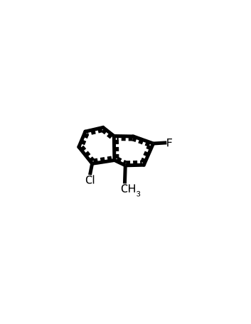 Cc1cc(F)cc2cccc(Cl)c12